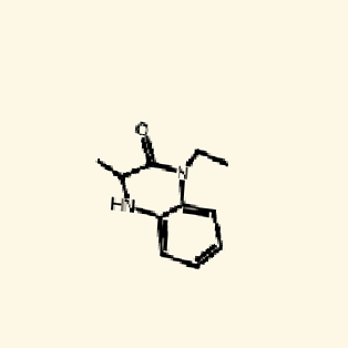 CCN1C(=O)C(C)Nc2ccccc21